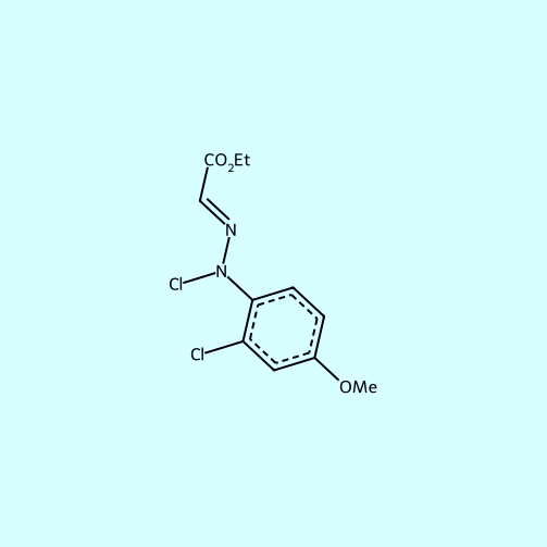 CCOC(=O)C=NN(Cl)c1ccc(OC)cc1Cl